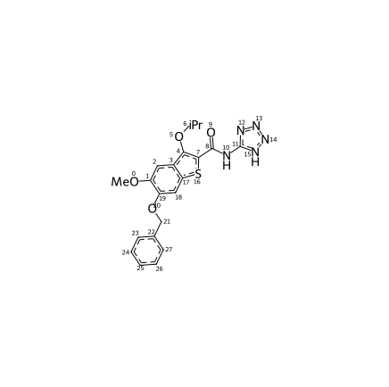 COc1cc2c(OC(C)C)c(C(=O)Nc3nnn[nH]3)sc2cc1OCc1ccccc1